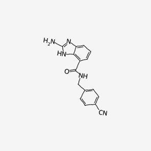 N#Cc1ccc(CNC(=O)c2cccc3nc(N)[nH]c23)cc1